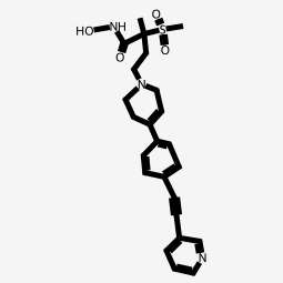 CC(CCN1CC=C(c2ccc(C#Cc3cccnc3)cc2)CC1)(C(=O)NO)S(C)(=O)=O